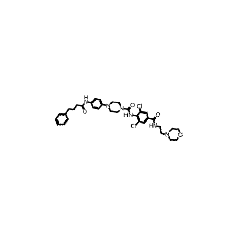 O=C(CCCc1ccccc1)Nc1ccc(N2CCN(C(=O)Nc3c(Cl)cc(C(=O)NCCN4CCOCC4)cc3Cl)CC2)cc1